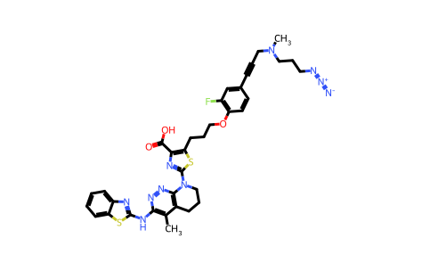 Cc1c(Nc2nc3ccccc3s2)nnc2c1CCCN2c1nc(C(=O)O)c(CCCOc2ccc(C#CCN(C)CCCN=[N+]=[N-])cc2F)s1